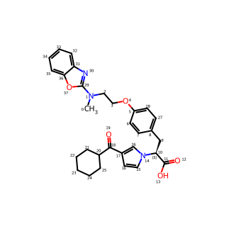 CN(CCOc1ccc(C[C@@H](C(=O)O)n2ccc(C(=O)C3CCCCC3)c2)cc1)c1nc2ccccc2o1